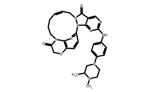 CC1CN(c2ccc(Nc3ncc4c(=O)n5n(c4n3)-c3ccc4c(n3)N(CCC/C=C\C5)C(=O)CO4)cc2)CCN1C